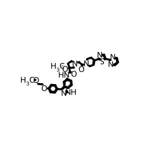 COCCOc1ccc(-c2n[nH]c3ccc(NC(=O)[C@]4(OC)CCN(CC(=O)N5CC=C(c6ncc(-c7ncccn7)s6)CC5)C4)cc23)cc1